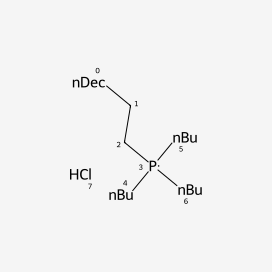 CCCCCCCCCCCC[P](CCCC)(CCCC)CCCC.Cl